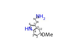 COC1C=Cc2[nH]cc(CCN)c2C1